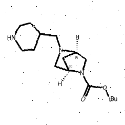 CC(C)(C)OC(=O)N1C[C@H]2C[C@@H]1CN2CC1CCNCC1